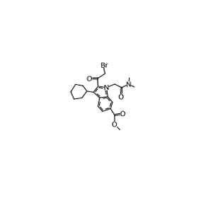 COC(=O)c1ccc2c(C3CCCCC3)c(C(=O)CBr)n(CC(=O)N(C)C)c2c1